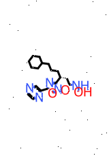 O=C(C[C@@H](CCCC1CCCCC1)c1noc(-c2cnccn2)n1)NO